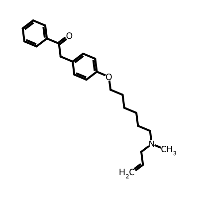 C=CCN(C)CCCCCCOc1ccc(CC(=O)c2ccccc2)cc1